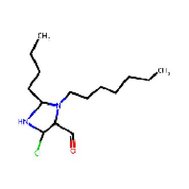 CCCCCCCN1C(CCCC)NC(Cl)C1C=O